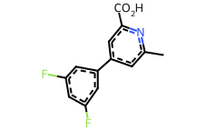 Cc1cc(-c2cc(F)cc(F)c2)cc(C(=O)O)n1